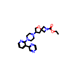 CCOC(=O)N1CC2(CC(N3CCN(c4ncccc4-c4cnccn4)CC3)CO2)C1